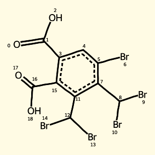 O=C(O)c1cc(Br)c(C(Br)Br)c(C(Br)Br)c1C(=O)O